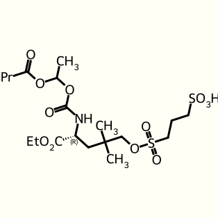 CCOC(=O)[C@@H](CC(C)(C)COS(=O)(=O)CCCS(=O)(=O)O)NC(=O)OC(C)OC(=O)C(C)C